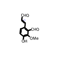 COc1c(O)ccc(/C=C/C=O)c1C=O